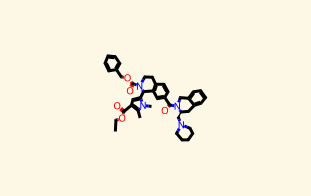 CCOC(=O)c1cc(C2c3cc(C(=O)N4Cc5ccccc5C[C@H]4CN4CCCCC4)ccc3CCN2C(=O)OCc2ccccc2)n(C)c1C